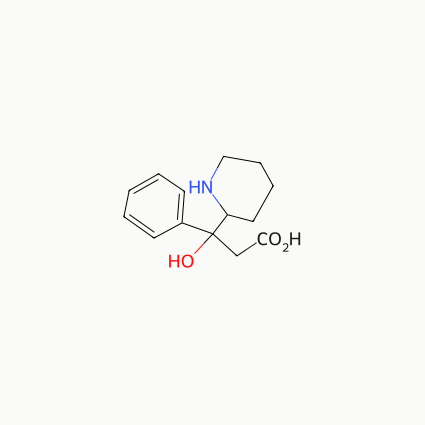 O=C(O)CC(O)(c1ccccc1)C1CCCCN1